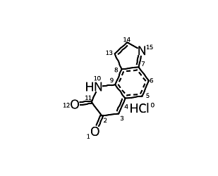 Cl.O=C1C=c2ccc3c(c2NC1=O)C=CN=3